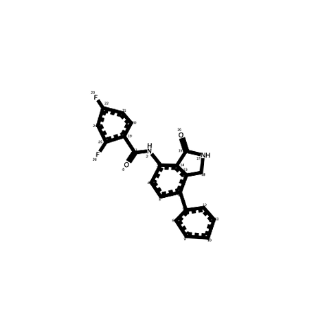 O=C(Nc1ccc(-c2ccccc2)c2c1C(=O)NC2)c1ccc(F)cc1F